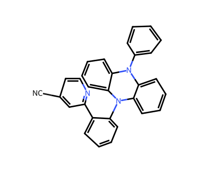 N#Cc1ccnc(-c2ccccc2N2c3ccccc3N(c3ccccc3)c3ccccc32)c1